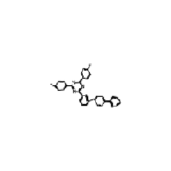 Fc1ccc(-c2nc(-c3ccc(F)cc3)nc(-c3cccc(-c4ccc(-c5ccccc5)cc4)c3)n2)cc1